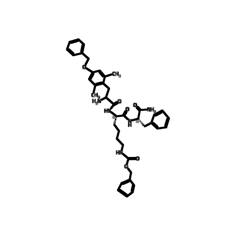 Cc1cc(OCc2ccccc2)cc(C)c1CC(N)C(=O)N[C@@H](CCCCNC(=O)OCc1ccccc1)C(=O)N[C@@H](Cc1ccccc1)C(N)=O